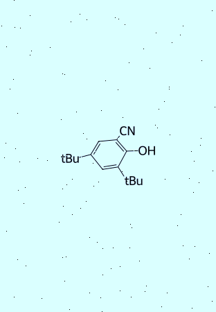 CC(C)(C)c1cc(C#N)c(O)c(C(C)(C)C)c1